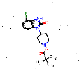 CC(C)(C)C(=O)ON1CCC(n2c(=O)[nH]c3c(F)cccc32)CC1